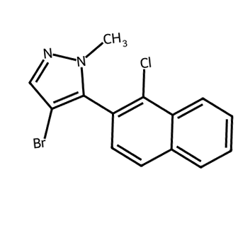 Cn1ncc(Br)c1-c1ccc2ccccc2c1Cl